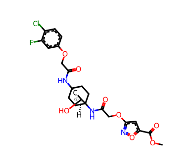 COC(=O)c1cc(OCC(=O)NC23CCC(NC(=O)COc4ccc(Cl)c(F)c4)(CC2)C[C@@H]3O)no1